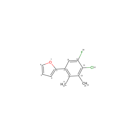 Cc1c(-c2ccco2)[c]c(F)c(Cl)c1C